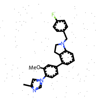 COc1cc(-c2cccc3c2CCN3Cc2ccc(F)cc2)ccc1-n1cnc(C)c1